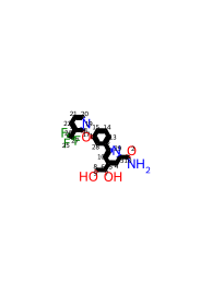 NC(=O)c1cc([C@H](O)CO)cc(-c2cccc(Oc3ncccc3C(F)(F)F)c2)n1